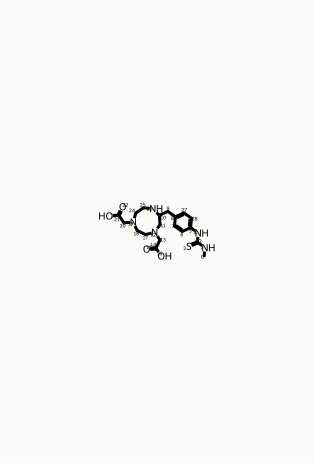 CNC(=S)Nc1ccc(CC2CN(CC(=O)O)CCN(CC(=O)O)CCN2)cc1